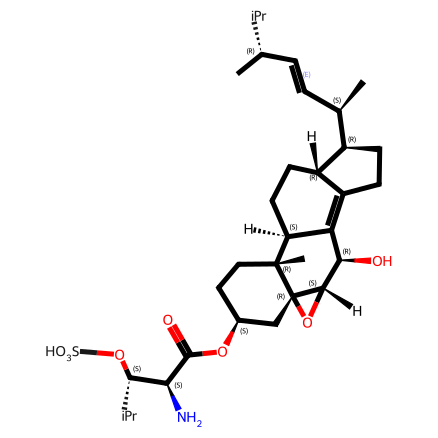 CC(C)[C@@H](C)/C=C/[C@@H](C)[C@H]1CCC2=C3[C@@H](O)[C@@H]4O[C@@]45C[C@@H](OC(=O)[C@@H](N)[C@@H](OS(=O)(=O)O)C(C)C)CC[C@]5(C)[C@H]3CC[C@@H]21